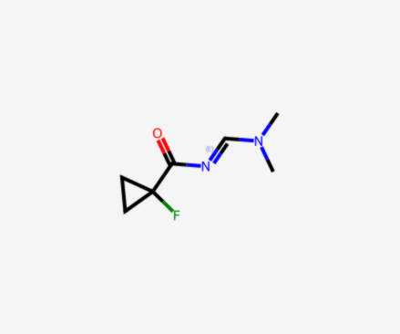 CN(C)/C=N/C(=O)C1(F)CC1